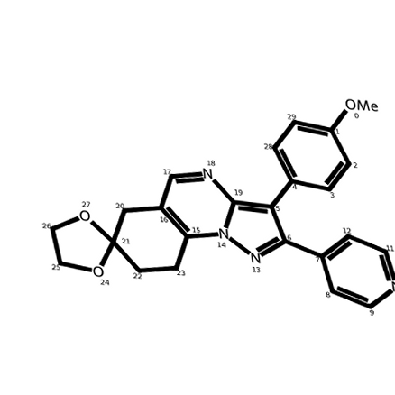 COc1ccc(-c2c(-c3ccncc3)nn3c4c(cnc23)CC2(CC4)OCCO2)cc1